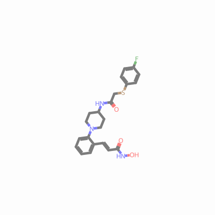 O=C(C=Cc1ccccc1N1CCC(NC(=O)CSc2ccc(F)cc2)CC1)NO